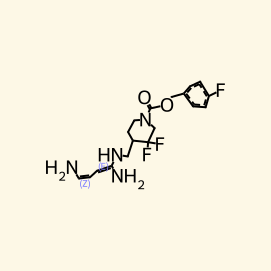 N/C=C\C=C(/N)NCC1CCN(C(=O)OCc2ccc(F)cc2)CC1(F)F